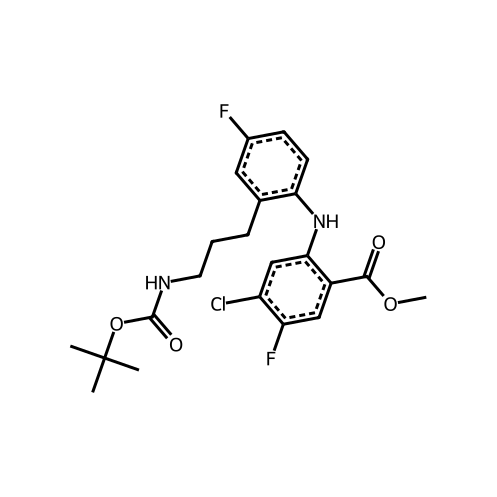 COC(=O)c1cc(F)c(Cl)cc1Nc1ccc(F)cc1CCCNC(=O)OC(C)(C)C